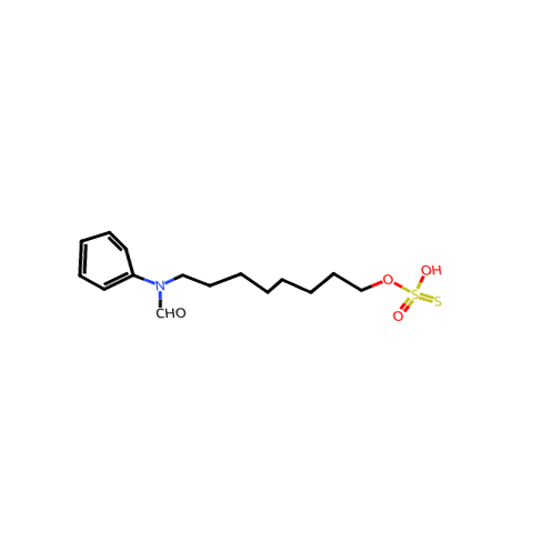 O=CN(CCCCCCCCOS(=O)(O)=S)c1ccccc1